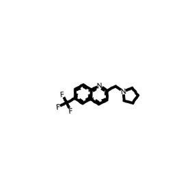 FC(F)(F)c1ccc2nc(CN3CCCC3)ccc2c1